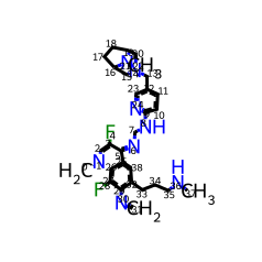 C=N/C=C(F)\C(=N/CNc1ccc(CN2CC3CCC(C2)N3C)cn1)c1cc(F)c(N=C)c(CCCNC)c1